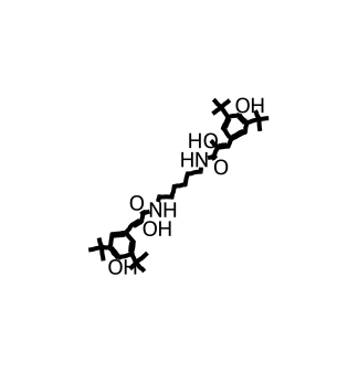 CC(C)(C)c1cc(C=C(O)C(=O)NCCCCCCNC(=O)C(O)=Cc2cc(C(C)(C)C)c(O)c(C(C)(C)C)c2)cc(C(C)(C)C)c1O